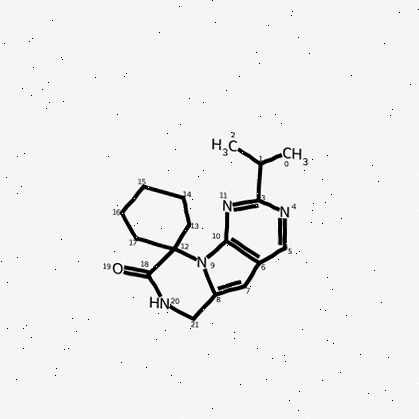 CC(C)c1ncc2cc3n(c2n1)C1(CCCCC1)C(=O)NC3